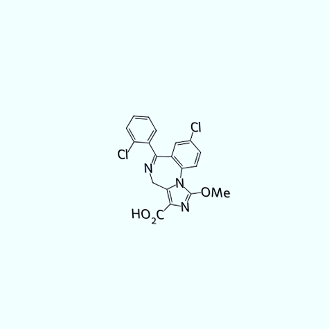 COc1nc(C(=O)O)c2n1-c1ccc(Cl)cc1C(c1ccccc1Cl)=NC2